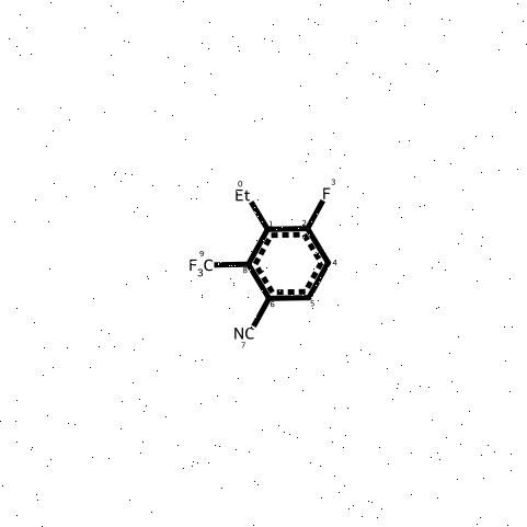 CCc1c(F)ccc(C#N)c1C(F)(F)F